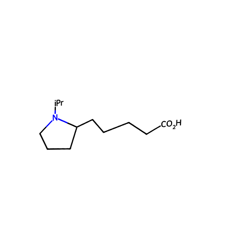 CC(C)N1CCCC1CCCCC(=O)O